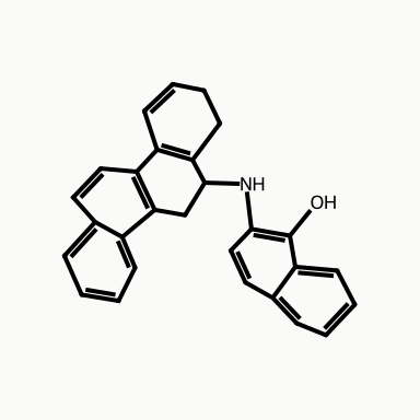 Oc1c(NC2Cc3c(ccc4ccccc34)C3=C2CCC=C3)ccc2ccccc12